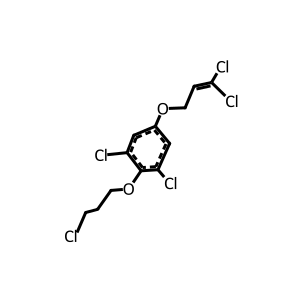 ClCCCOc1c(Cl)cc(OCC=C(Cl)Cl)cc1Cl